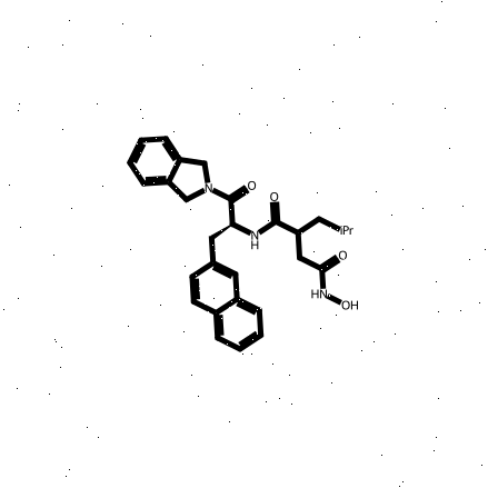 CC(C)CC(CC(=O)NO)C(=O)N[C@@H](Cc1ccc2ccccc2c1)C(=O)N1Cc2ccccc2C1